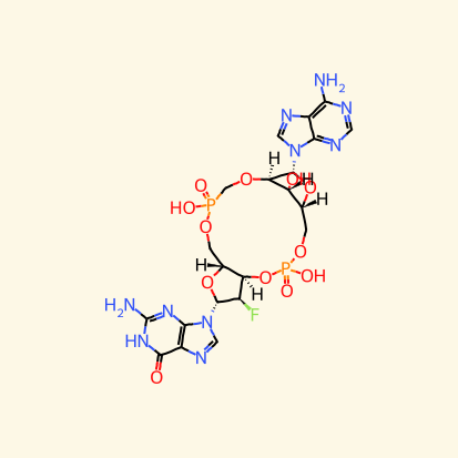 Nc1nc2c(ncn2[C@@H]2O[C@@H]3COP(=O)(O)CO[C@@H]4[C@H](O)[C@@H](COP(=O)(O)O[C@H]3[C@H]2F)O[C@H]4n2cnc3c(N)ncnc32)c(=O)[nH]1